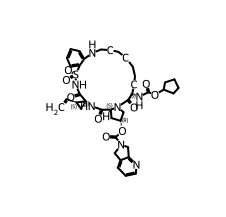 C=C[C@@H]1C[C@@]12NC(=O)[C@@H]1C[C@@H](OC(=O)N3Cc4cccnc4C3)CN1C(=O)[C@@H](NC(=O)OC1CCCC1)CCCCCCCNc1ccccc1S(=O)(=O)NC2=O